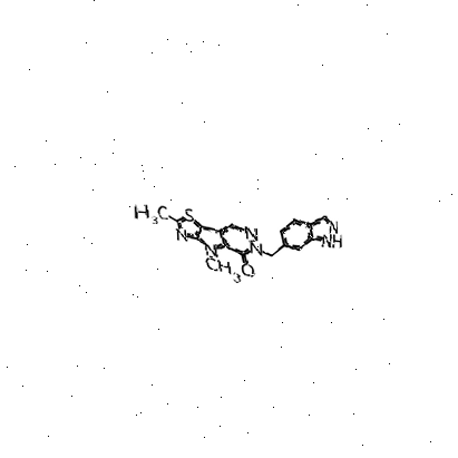 Cc1nc2c(s1)c1cnn(Cc3ccc4cn[nH]c4c3)c(=O)c1n2C